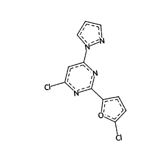 Clc1cc(-n2cccn2)nc(-c2ccc(Cl)o2)n1